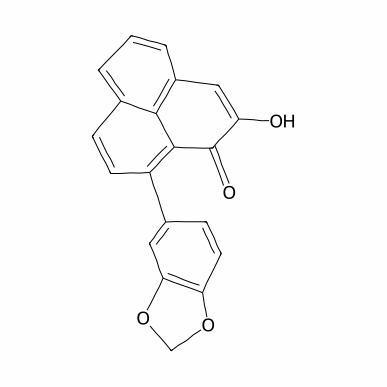 O=C1C(O)=Cc2cccc3ccc(-c4ccc5c(c4)OCO5)c1c23